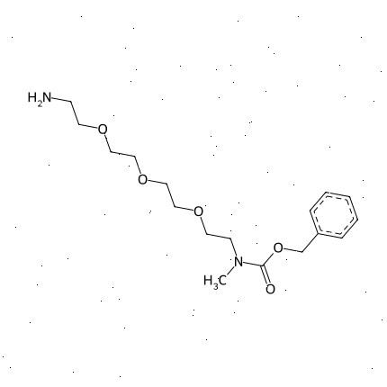 CN(CCOCCOCCOCCN)C(=O)OCc1ccccc1